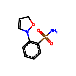 NS(=O)(=O)c1ccccc1N1C=CCO1